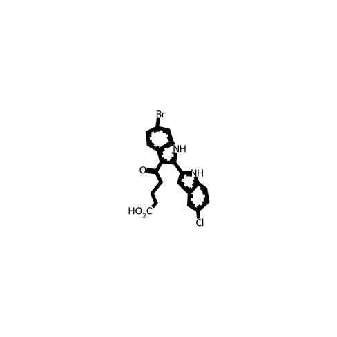 O=C(O)CCCC(=O)c1c(-c2cc3cc(Cl)ccc3[nH]2)[nH]c2cc(Br)ccc12